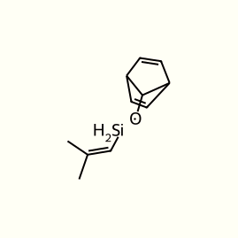 CC(C)=C[SiH2]OC1C2C=CC1C=C2